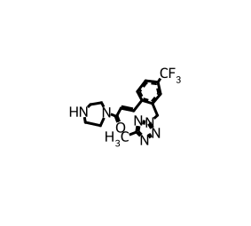 Cc1nnn(Cc2cc(C(F)(F)F)ccc2C=CC(=O)N2CCNCC2)n1